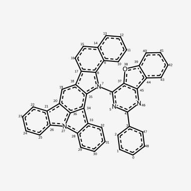 c1ccc(-c2nc(-n3c4c5ccccc5ccc4c4cc5c6ccccc6n6c7ccccc7c(c43)c56)c3oc4ccccc4c3n2)cc1